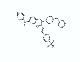 CN(c1ccncc1)c1ccc(CN(C(=O)/C=C/c2ccc(C(F)(F)F)cc2)C2CCN(Cc3cccnc3)CC2)cc1